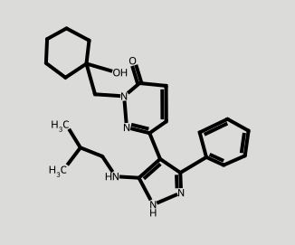 CC(C)CNc1[nH]nc(-c2ccccc2)c1-c1ccc(=O)n(CC2(O)CCCCC2)n1